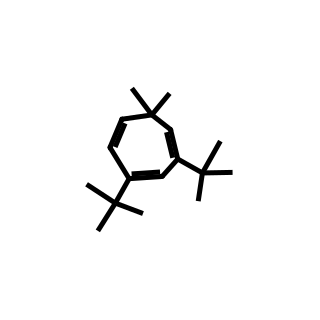 CC1(C)C=CC(C(C)(C)C)=CC(C(C)(C)C)=C1